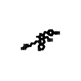 CCCNCCCCOc1c(C)nc(Cc2ccc(O)cc2)c(CO)c1CN1CCOCC1